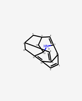 C1=CC2C3=CC4CC5C=C2C1=C(C5)C(C4)N3